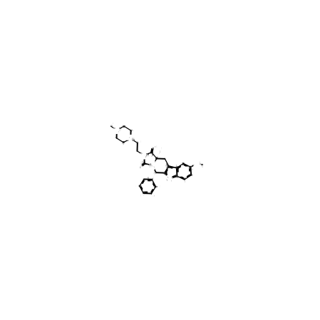 CCOc1ccc2[nH]c3c(c2c1)C[C@@]1(C)C(=O)N(CCN2CCN(C)CC2)C(=O)N1[C@@H]3c1ccccc1